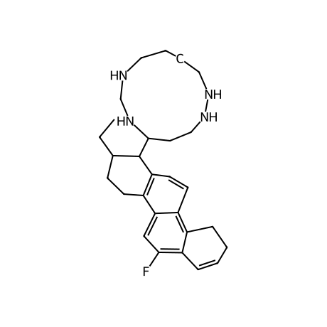 CCC1CCc2c(ccc3c4c(c(F)cc23)C=CCC4)C1C1CCNNCCCCNCN1